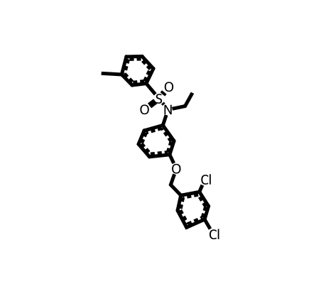 CCN(c1cccc(OCc2ccc(Cl)cc2Cl)c1)S(=O)(=O)c1cccc(C)c1